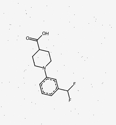 O=C(O)C1CCN(c2cccc(C(F)F)c2)CC1